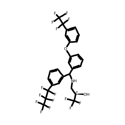 O[C@H](CNC(c1cccc(Oc2cccc(C(F)(F)C(F)(F)F)c2)c1)c1cccc(C(F)(F)C(F)(F)C(F)(F)F)c1)C(F)(F)F